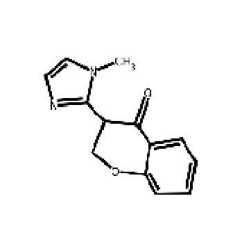 Cn1ccnc1C1COc2ccccc2C1=O